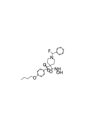 CCCCOc1ccc(S(=O)(=O)C2(C(=O)NO)CCN(C(F)c3ccccc3)CC2)cc1